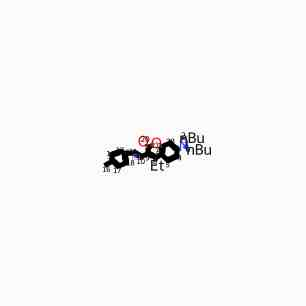 CCCCN(CCCC)c1ccc2c(CC)c(/C=C/c3ccc(C)cc3)c(=O)oc2c1